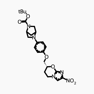 CC(C)(C)OC(=O)N1CC2CC1CN2c1ccc(OC[C@H]2CCn3cc([N+](=O)[O-])nc3O2)cc1